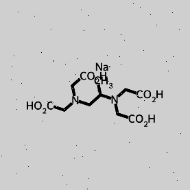 CC(CN(CC(=O)O)CC(=O)O)N(CC(=O)O)CC(=O)O.[Na]